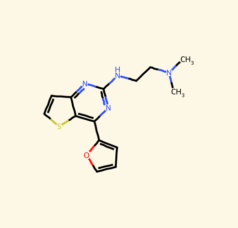 CN(C)CCNc1nc(-c2ccco2)c2sccc2n1